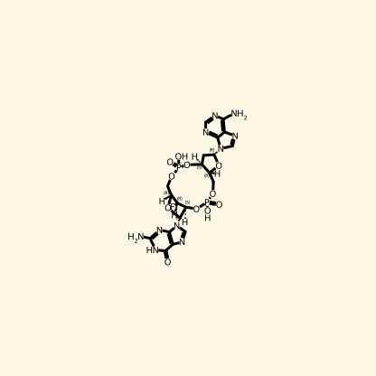 Nc1nc2c(ncn2[C@@H]2O[C@@H]3COP(=O)(O)O[C@H]4C[C@H](n5cnc6c(N)ncnc65)O[C@@H]4COP(=O)(O)O[C@@H]2[C@@H]3F)c(=O)[nH]1